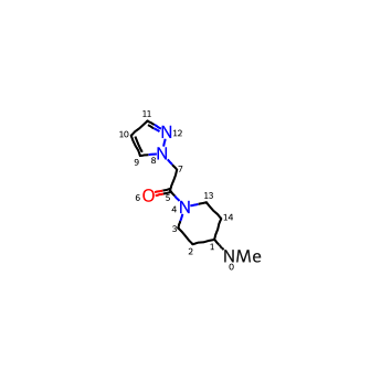 CNC1CCN(C(=O)Cn2cccn2)CC1